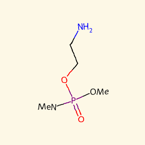 CNP(=O)(OC)OCCN